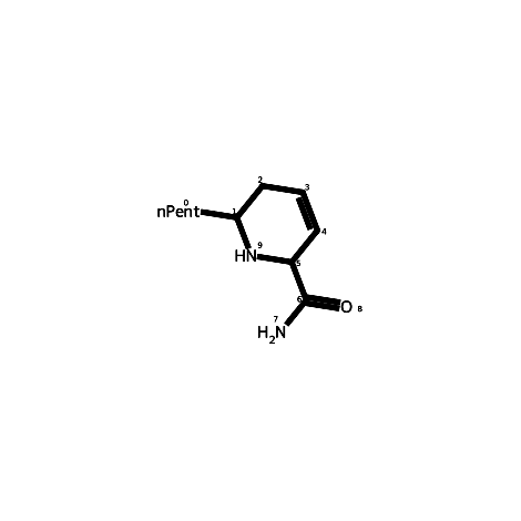 CCCCCC1CC=CC(C(N)=O)N1